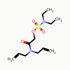 C=CCN(CC=C)C(=O)COS(=O)(=O)N(CC)CC